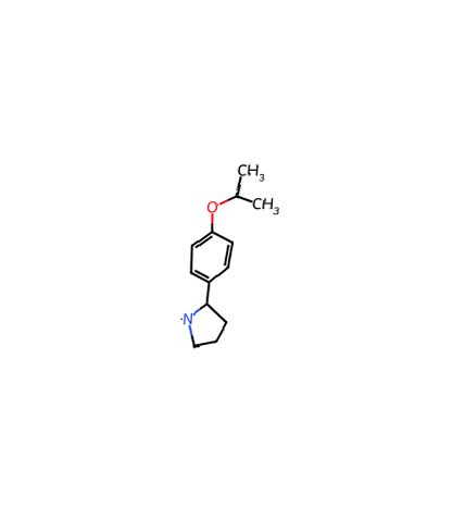 CC(C)Oc1ccc(C2CCC[N]2)cc1